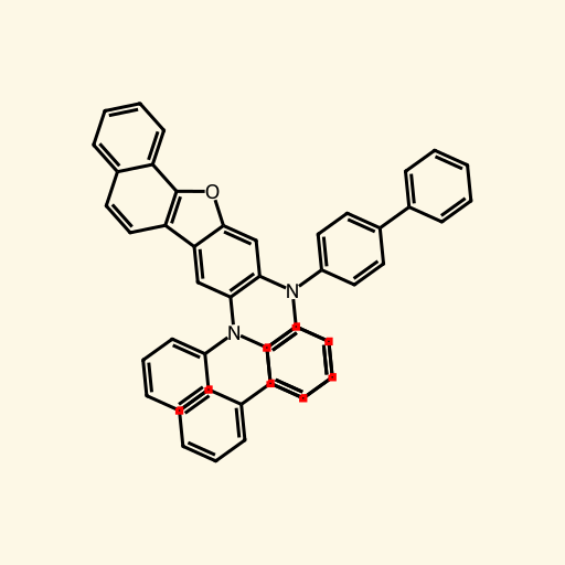 c1ccc(-c2ccc(N(c3ccccc3)c3cc4oc5c6ccccc6ccc5c4cc3N(c3ccccc3)c3ccccc3-c3ccccc3)cc2)cc1